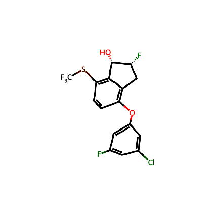 O[C@H]1c2c(SC(F)(F)F)ccc(Oc3cc(F)cc(Cl)c3)c2C[C@H]1F